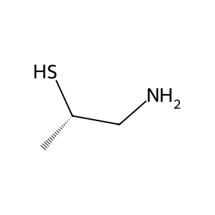 C[C@H](S)CN